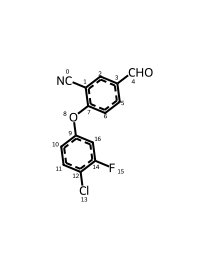 N#Cc1cc(C=O)ccc1Oc1ccc(Cl)c(F)c1